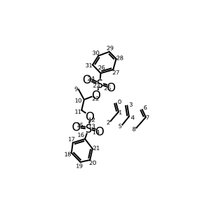 C=CC.C=CC.C=CC.CC(COS(=O)(=O)c1ccccc1)OS(=O)(=O)c1ccccc1